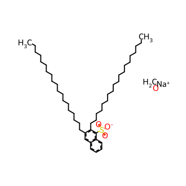 C=O.CCCCCCCCCCCCCCCCCCCc1cc2ccccc2c(S(=O)(=O)[O-])c1CCCCCCCCCCCCCCCCCCC.[Na+]